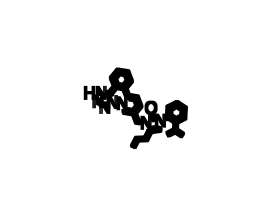 CCCc1cn(-c2ccccc2C(C)C)c(=O)n1Cc1ccc(-c2ccccc2-c2nnn[nH]2)nc1